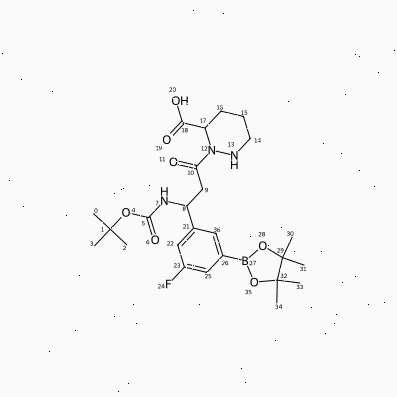 CC(C)(C)OC(=O)NC(CC(=O)N1NCCCC1C(=O)O)c1cc(F)cc(B2OC(C)(C)C(C)(C)O2)c1